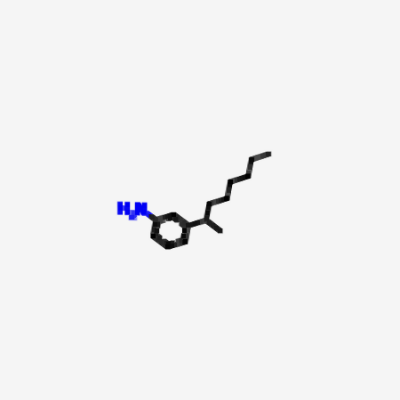 CCCCCCC(C)c1cccc(N)c1